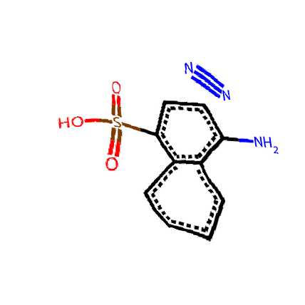 N#N.Nc1ccc(S(=O)(=O)O)c2ccccc12